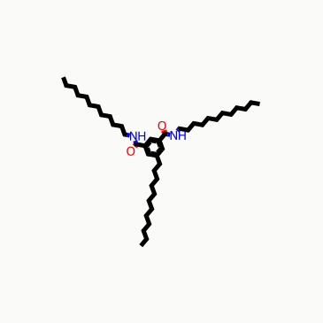 CCCCCCCCCCCCNC(=O)c1cc(CCCCCCCCCCCC)cc(C(=O)NCCCCCCCCCCCC)c1